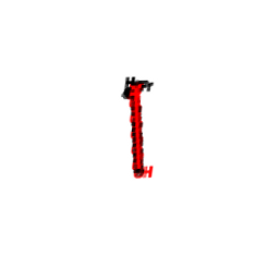 CC(C)[Si](C)(C)O[Si](C)(CCCOCCOCCOCCOCCOCCOCCOCCOCCOCCO)O[SiH](C)C